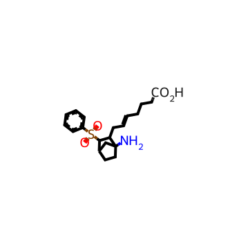 NC12CCC(C1)C(S(=O)(=O)c1ccccc1)C2CC=CCCCC(=O)O